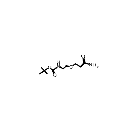 CC(C)(C)OC(=O)NCCOCCC(N)=O